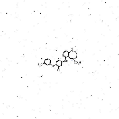 O=C(O)/C1=C/c2c(ncnc2Nc2ccc(Oc3cccc(C(F)(F)F)c3)c(Cl)c2)NCCC1